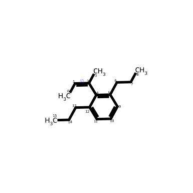 C/C=C(/C)c1c(CCC)cccc1CCC